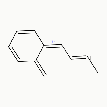 C=c1cccc/c1=C/C=NC